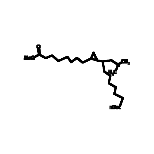 CCCCCCCCCCCCCCCCC(CN(C)C)C1CC1CCCCCCCC(=O)OC